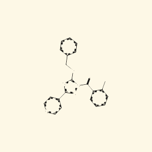 Cc1ccccc1C(=O)n1nc(-c2ccncc2)nc1NCc1ccccc1